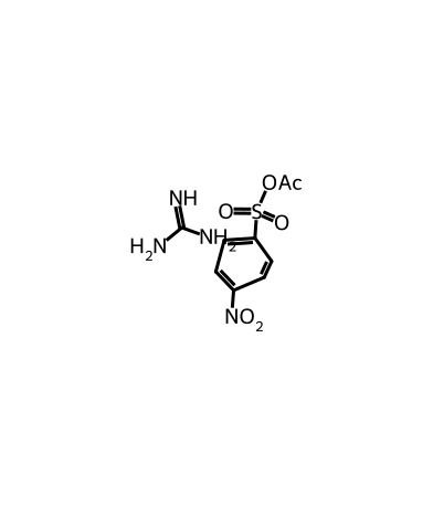 CC(=O)OS(=O)(=O)c1ccc([N+](=O)[O-])cc1.N=C(N)N